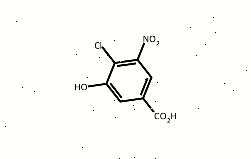 O=C(O)c1cc(O)c(Cl)c([N+](=O)[O-])c1